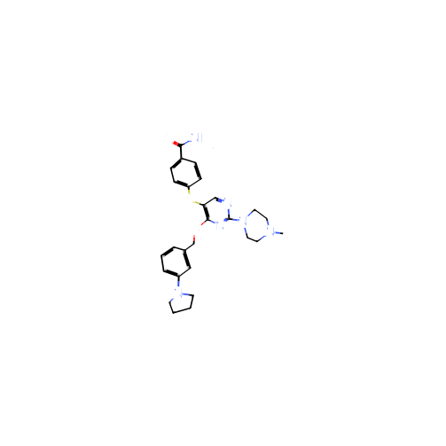 CN1CCN(c2ncc(Sc3ccc(C(N)=O)cc3)c(OCc3cccc(N4CCCC4)c3)n2)CC1